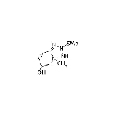 CSN1N=C2C=CC(O)=C[N+]2(C)N1